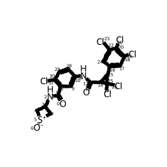 O=C(NC1C[S+]([O-])C1)c1cc(NC(=O)C2C(c3cc(Cl)c(Cl)c(Cl)c3)C2(Cl)Cl)ccc1Cl